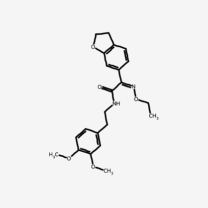 CCON=C(C(=O)NCCc1ccc(OC)c(OC)c1)c1ccc2c(c1)OCC2